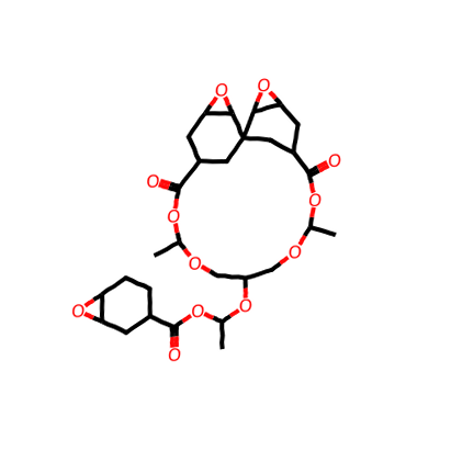 CC1OCC(OC(C)OC(=O)C2CCC3OC3C2)COC(C)OC(=O)C2CC3OC3C3(CC(CC4OC43)C(=O)O1)C2